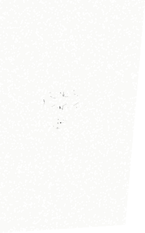 CCc1ccc2nc3ccccc3nc2c1CC.Cl.N